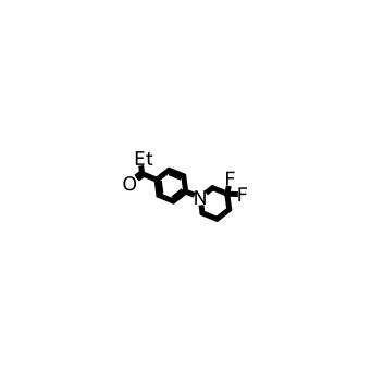 CCC(=O)c1ccc(N2CCCC(F)(F)C2)cc1